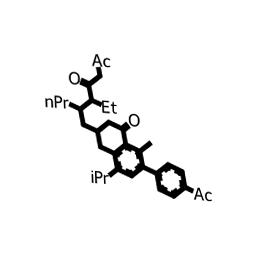 CCCC(CC1CC(=O)c2c(C)c(-c3ccc(C(C)=O)cc3)cc(C(C)C)c2C1)C(CC)C(=O)CC(C)=O